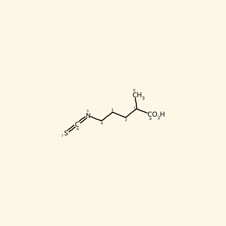 CC(CCCN=C=S)C(=O)O